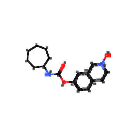 O=C(NC1CCCCCC1)Oc1ccc2cc[n+](O)cc2c1